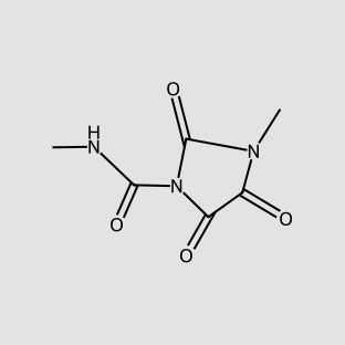 CNC(=O)N1C(=O)C(=O)N(C)C1=O